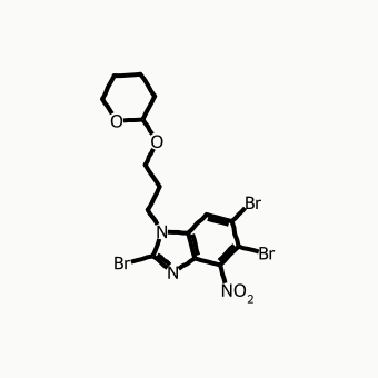 O=[N+]([O-])c1c(Br)c(Br)cc2c1nc(Br)n2CCCOC1CCCCO1